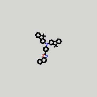 CC1(C)c2ccccc2-c2ccc(N(c3ccc(-c4nc5ccc6ccccc6c5o4)cc3)c3ccc4c(c3)C(C)(C)c3ccccc3-4)cc21